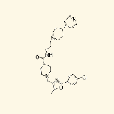 Cc1oc(-c2ccc(Cl)cc2)nc1CN1CCC(C(=O)NCCCN2CCC(c3ccncc3)CC2)CC1